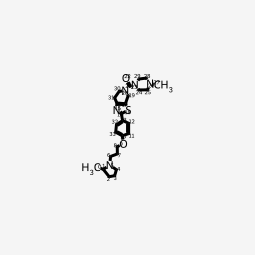 CC1CCCN1CCCOc1ccc(-c2nc3c(s2)CN(C(=O)N2CCN(C)CC2)CC3)cc1